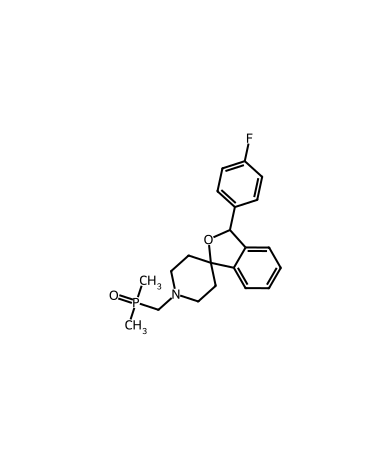 CP(C)(=O)CN1CCC2(CC1)OC(c1ccc(F)cc1)c1ccccc12